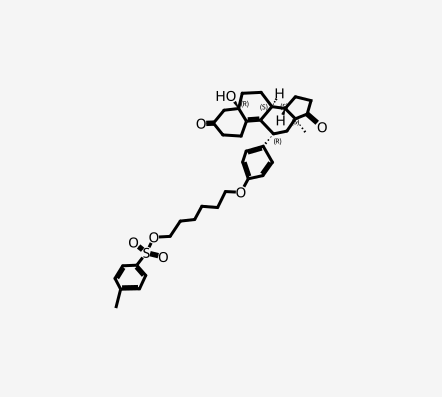 Cc1ccc(S(=O)(=O)OCCCCCCOc2ccc([C@H]3C[C@]4(C)C(=O)CC[C@H]4[C@@H]4CC[C@@]5(O)CC(=O)CCC5=C43)cc2)cc1